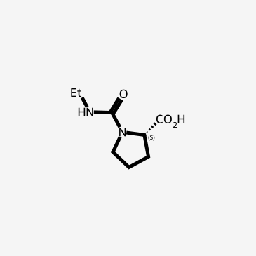 CCNC(=O)N1CCC[C@H]1C(=O)O